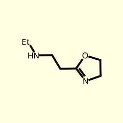 CCNCCC1=NCCO1